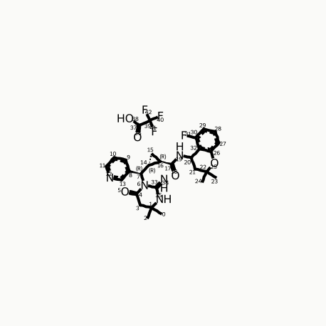 CC1(C)CC(=O)N([C@@H](c2cccnc2)[C@@H]2C[C@H]2C(=O)NC2CC(C)(C)Oc3cccc(F)c32)C(=N)N1.O=C(O)C(F)(F)F